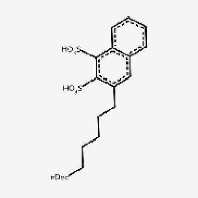 CCCCCCCCCCCCCCCc1cc2ccccc2c(S(=O)(=O)O)c1S(=O)(=O)O